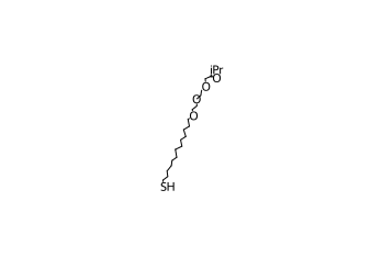 CC(C)C(=O)COCCOCCOCCCCCCCCCCCCCS